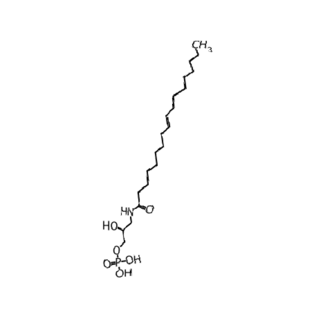 CCCCCCCCC=CCCCCCCCC(=O)NCC(O)COP(=O)(O)O